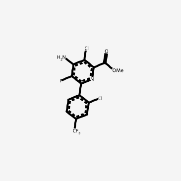 COC(=O)c1nc(-c2ccc(C(F)(F)F)cc2Cl)c(I)c(N)c1Cl